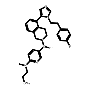 COCCN(C)c1ccc([S+]([O-])N2CCc3c(cccc3-c3cncn3CCc3ccc(F)cc3)C2)cn1